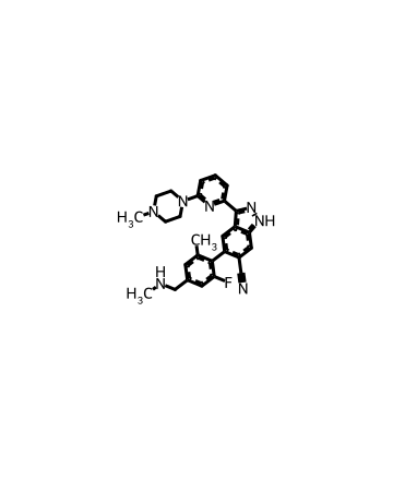 CNCc1cc(C)c(-c2cc3c(-c4cccc(N5CCN(C)CC5)n4)n[nH]c3cc2C#N)c(F)c1